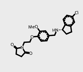 COc1cc(CN[C@H]2CCc3cc(Cl)ccc32)ccc1OCCN1C(=O)CCC1=O